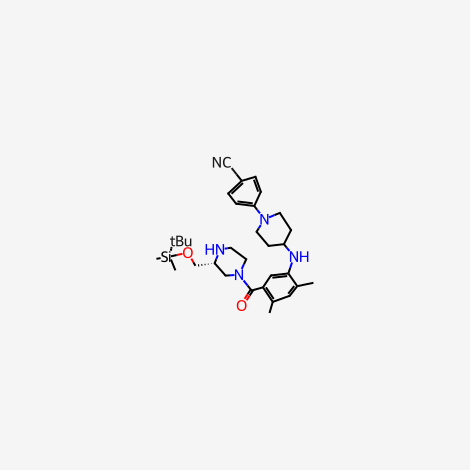 Cc1cc(C)c(C(=O)N2CCN[C@@H](CO[Si](C)(C)C(C)(C)C)C2)cc1NC1CCN(c2ccc(C#N)cc2)CC1